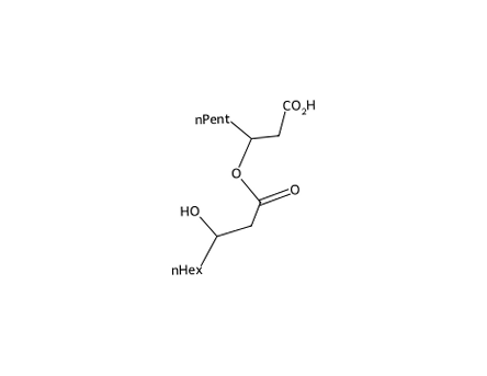 CCCCCCC(O)CC(=O)OC(CCCCC)CC(=O)O